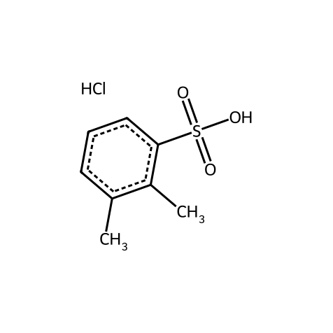 Cc1cccc(S(=O)(=O)O)c1C.Cl